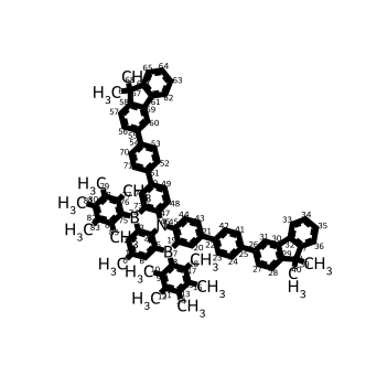 Cc1cc2c3c(c1)B(c1c(C)c(C)c(C)c(C)c1C)c1cc(-c4ccc(-c5ccc6c(c5)-c5ccccc5C6(C)C)cc4)ccc1N3c1ccc(-c3ccc(-c4ccc5c(c4)-c4ccccc4C5(C)C)cc3)cc1B2c1c(C)c(C)c(C)c(C)c1C